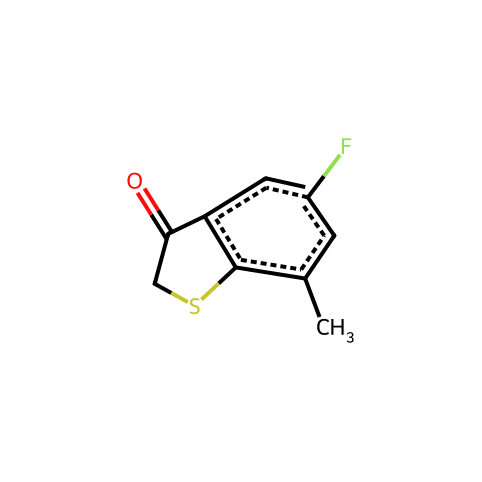 Cc1cc(F)cc2c1SCC2=O